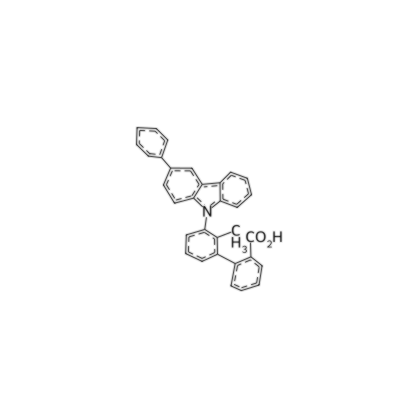 Cc1c(-c2ccccc2C(=O)O)cccc1-n1c2ccccc2c2cc(-c3ccccc3)ccc21